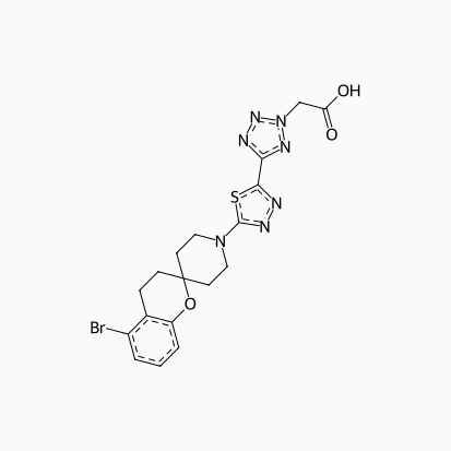 O=C(O)Cn1nnc(-c2nnc(N3CCC4(CCc5c(Br)cccc5O4)CC3)s2)n1